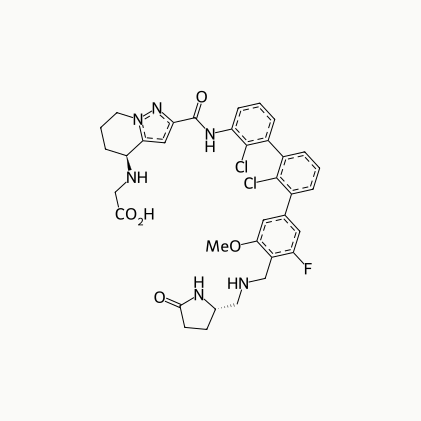 COc1cc(-c2cccc(-c3cccc(NC(=O)c4cc5n(n4)CCC[C@@H]5NCC(=O)O)c3Cl)c2Cl)cc(F)c1CNC[C@@H]1CCC(=O)N1